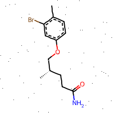 Cc1ccc(OC[C@@H](C)CCC(N)=O)cc1Br